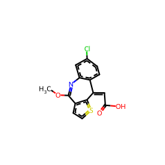 COC1=Nc2cc(Cl)ccc2C(=CC(=O)O)c2sccc21